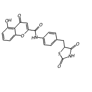 O=C1NC(=O)C(Cc2ccc(NC(=O)c3cc(=O)c4c(O)cccc4o3)cc2)S1